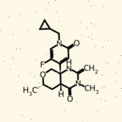 C=C1N[C@@]2(c3cc(=O)n(CC4CC4)cc3F)CO[C@@H](C)C[C@H]2C(=O)N1C